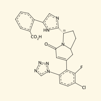 O=C(O)c1ccccc1-c1cnc([C@@H]2CCC3CC(c4c(-n5cnnn5)ccc(Cl)c4F)=CC(=O)N32)[nH]1